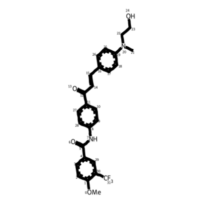 COc1ccc(C(=O)Nc2ccc(C(=O)/C=C/c3ccc(N(C)CCO)cc3)cc2)cc1C(F)(F)F